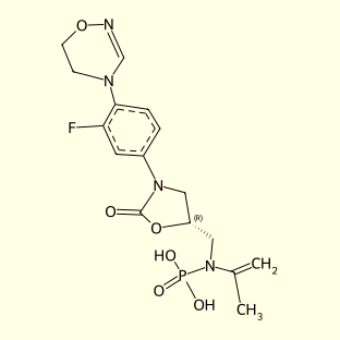 C=C(C)N(C[C@H]1CN(c2ccc(N3C=NOCC3)c(F)c2)C(=O)O1)P(=O)(O)O